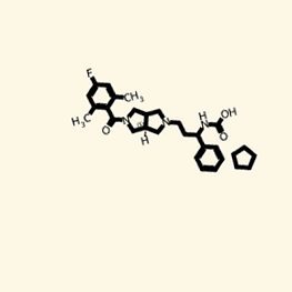 C1CCCC1.Cc1cc(F)cc(C)c1C(=O)N1CC2CN(CCC(NC(=O)O)c3ccccc3)C[C@H]2C1